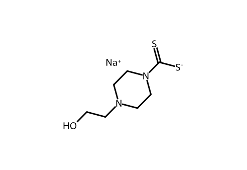 OCCN1CCN(C(=S)[S-])CC1.[Na+]